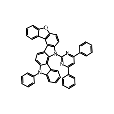 c1ccc(-c2cc(-c3ccccc3)nc(-n3c4ccc5oc6ccccc6c5c4c4ccc5c(c6ccccc6n5-c5ccccc5)c43)n2)cc1